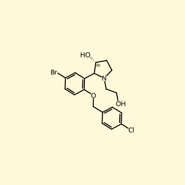 OCCN1CC[C@@H](O)C1c1cc(Br)ccc1OCc1ccc(Cl)cc1